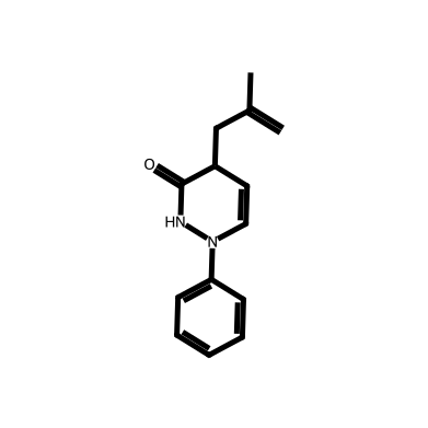 C=C(C)CC1C=CN(c2ccccc2)NC1=O